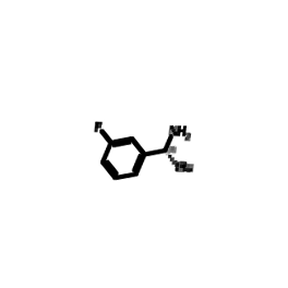 CC(C)(C)[C@@H](N)c1cccc(F)c1